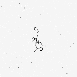 C[C@H]1CN(C(=O)CCCCl)C[C@H](C)O1